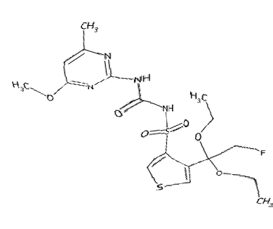 CCOC(CF)(OCC)c1cscc1S(=O)(=O)NC(=O)Nc1nc(C)cc(OC)n1